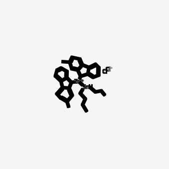 CCC[CH2][SnH]([CH2]CCC)[Zr+2]([CH]1c2ccccc2-c2ccc(C)cc21)[CH]1c2ccccc2-c2ccc(C)cc21.[Cl-].[Cl-]